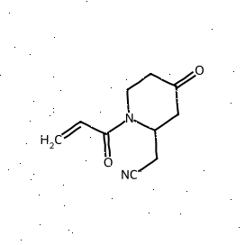 C=CC(=O)N1CCC(=O)CC1CC#N